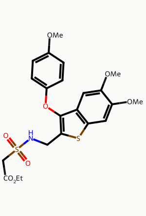 CCOC(=O)CS(=O)(=O)NCc1sc2cc(OC)c(OC)cc2c1Oc1ccc(OC)cc1